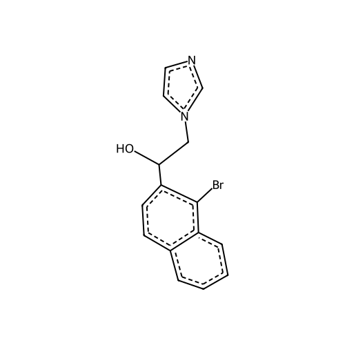 OC(Cn1ccnc1)c1ccc2ccccc2c1Br